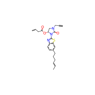 C#CCN1CC(OC(=O)CC=C)N(c2nc3ccc(CCCC=CC)cc3s2)C1=O